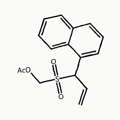 C=CC(c1cccc2ccccc12)S(=O)(=O)COC(C)=O